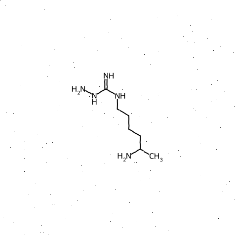 CC(N)CCCCNC(=N)NN